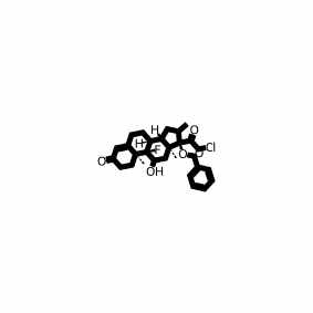 CC1C[C@H]2[C@@H]3CCC4=CC(=O)CC[C@]4(C)[C@@]3(F)C(O)C[C@]2(C)[C@@]1(OC(=O)c1ccccc1)C(=O)CCl